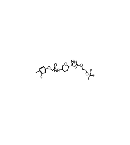 Cc1ccc(OCC(=O)N[C@@H]2CC[C@@H](c3nnc(OCCOC(F)(F)F)s3)OC2)cc1F